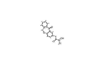 CCN(O)C(=O)Cc1ccc2c(c1)C(=O)c1ccccc1CO2